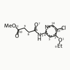 CCOc1cc(NC(=O)CCC(=O)OC)ncc1Cl